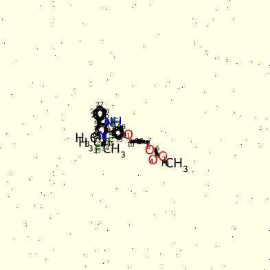 CCOC(=O)COCC#CCOc1cc(F)c([C@@H]2c3[nH]c4ccccc4c3C[C@@H](C)N2CC(C)(C)F)c(F)c1